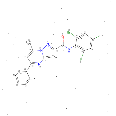 O=C(Nc1c(F)cc(F)cc1Br)c1cc2nc(-c3ccccc3)cc(C(F)(F)F)n2n1